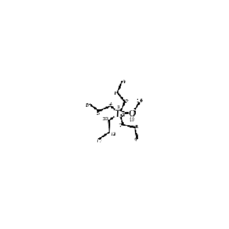 CC[CH2][Ta]([CH2]CC)([CH2]CC)([CH2]CC)[O]C